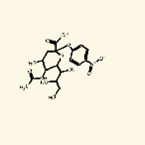 CC(=O)NC1C(O)CC(Oc2ccc([N+](=O)[O-])cc2)(C(=O)O)OC1C(O)C(O)CO